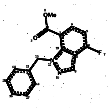 COC(=O)c1ccc(F)c2cnn(Cc3ccccc3)c12